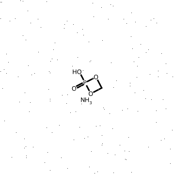 N.O=P1(O)OCO1